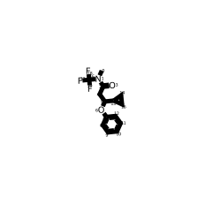 CN(C(=O)CC(Oc1ccccc1)C1CC1)C(F)(F)F